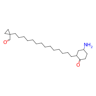 NC1CCC(=O)C(CCCCCCCCCCCCCCC2(C=O)CC2)C1